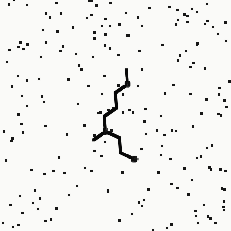 COCCCN(C)CC[O]